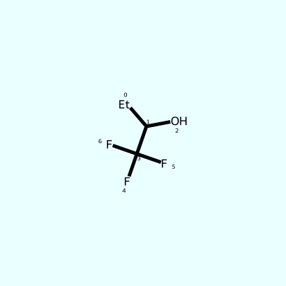 [CH2]CC(O)C(F)(F)F